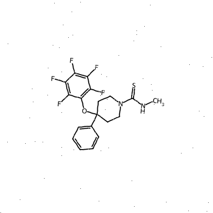 CNC(=S)N1CCC(Oc2c(F)c(F)c(F)c(F)c2F)(c2ccccc2)CC1